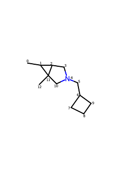 CC1C2CN(CC3CCC3)CC12C